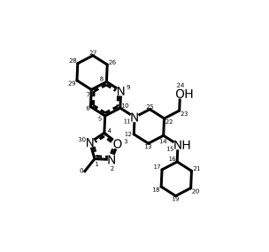 Cc1noc(-c2cc3c(nc2N2CCC(NC4CCCCC4)C(CO)C2)CCCC3)n1